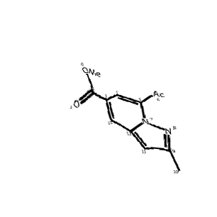 COC(=O)c1cc(C(C)=O)n2nc(C)cc2c1